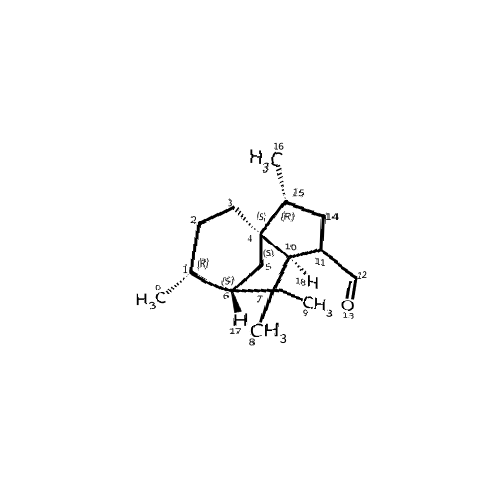 C[C@@H]1CC[C@@]23C[C@@H]1C(C)(C)[C@@H]2C(C=O)C[C@H]3C